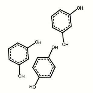 Oc1ccc(O)cc1.Oc1cccc(O)c1.Oc1cccc(O)c1